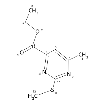 CCOC(=O)c1cc(C)nc(SC)n1